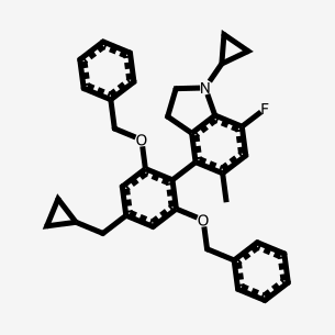 Cc1cc(F)c2c(c1-c1c(OCc3ccccc3)cc(CC3CC3)cc1OCc1ccccc1)CCN2C1CC1